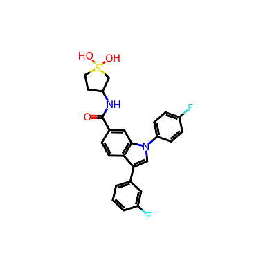 O=C(NC1CCS(O)(O)C1)c1ccc2c(-c3cccc(F)c3)cn(-c3ccc(F)cc3)c2c1